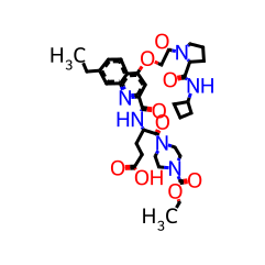 CCOC(=O)N1CCN(C(=O)C(CCC(=O)O)NC(=O)c2cc(OCC(=O)N3CCCC3C(=O)NC3CCC3)c3ccc(CC)cc3n2)CC1